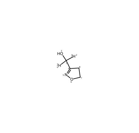 [2H]C([2H])(O)C1=NOCC1